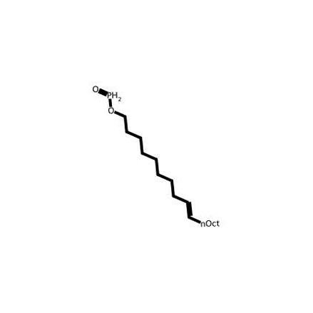 CCCCCCCCC=CCCCCCCCCO[PH2]=O